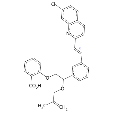 C=C(C)COC(COc1ccccc1C(=O)O)c1cccc(/C=C/c2ccc3ccc(Cl)cc3n2)c1